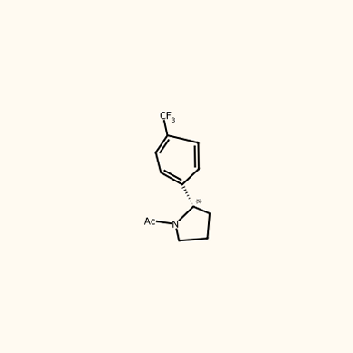 CC(=O)N1CCC[C@H]1c1ccc(C(F)(F)F)cc1